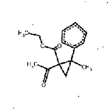 CCOC(=O)C1(C(C)=O)CC1(C)c1ccccc1